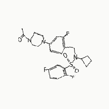 CC(=O)N1CCN(c2ccc(CN(C3CCC3)S(=O)(=O)c3cc(F)ccc3F)c(F)c2)CC1